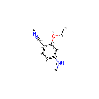 CCOc1cc(NC)ccc1C#N